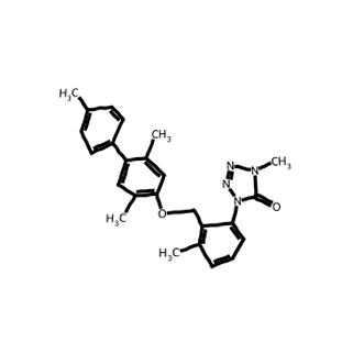 Cc1ccc(-c2cc(C)c(OCc3c(C)cccc3-n3nnn(C)c3=O)cc2C)cc1